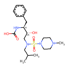 CC(C)CN(C[C@@H](O)[C@H](Cc1ccccc1)NC(=O)O)S(=O)(=O)N1CCN(C)CC1